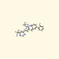 Cc1ccccc1-c1ccc2nc(NC(C)(C)C)c(C=Cc3cc(C(C)(C)C)ncn3)cc2c1